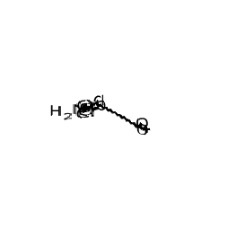 CC(C)(C)OC(=O)CCCCCCCCCCCCCCCOc1cc(Cl)c(S(N)(=O)=O)cc1Cl